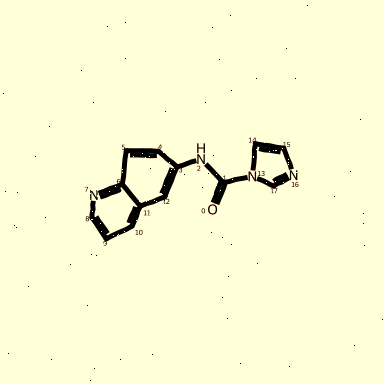 O=C(Nc1ccc2ncccc2c1)n1ccnc1